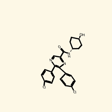 O=C(N[C@H]1CC[C@H](O)CC1)c1cnc(-c2ccc(Cl)cc2)c(-c2ccc(Cl)cc2)n1